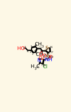 Cc1cc(CCO)cc(C)c1CC(=O)c1sccc1S(=O)(=O)Nc1onc(C)c1Cl